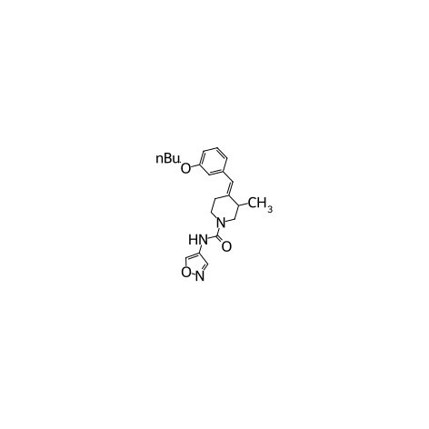 CCCCOc1cccc(C=C2CCN(C(=O)Nc3cnoc3)CC2C)c1